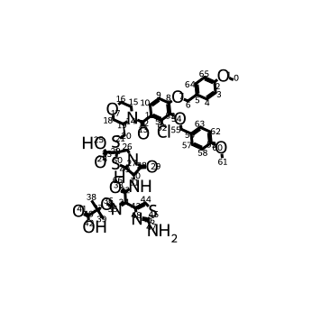 COc1ccc(COc2ccc(C(=O)N3CCOC[C@@H]3CS[C@]3(C(=O)O)CN4C(=O)[C@@H](NC(=O)/C(=N\OC(C)(C)C(=O)O)c5csc(N)n5)[C@H]4S3)c(Cl)c2OCc2ccc(OC)cc2)cc1